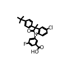 CC(C)(C)c1ccc(C2(C)C(=O)N(c3cc(F)cc(C(=O)O)c3)c3ccc(Cl)cc32)cc1